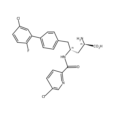 N[C@H](C[C@@H](Cc1ccc(-c2cc(Cl)ccc2F)cc1)NC(=O)c1ccc(Cl)cn1)C(=O)O